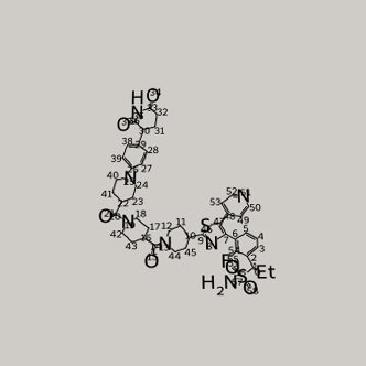 CCC(c1cccc(-c2nc(C3CCN(C(=O)C4CCN(C(=O)C5CCN(c6ccc(C7CCC(=O)NC7=O)cc6)CC5)CC4)CC3)sc2-c2ccncc2)c1F)S(N)(=O)=O